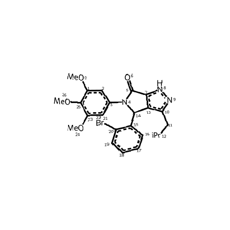 COc1cc(N2C(=O)c3[nH]nc(CC(C)C)c3C2c2ccccc2Br)cc(OC)c1OC